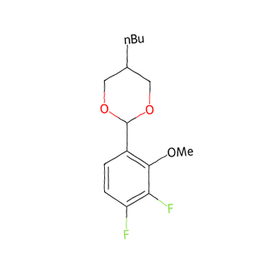 CCCCC1COC(c2ccc(F)c(F)c2OC)OC1